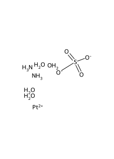 N.N.O.O.O.O.O=S(=O)([O-])[O-].[Pt+2]